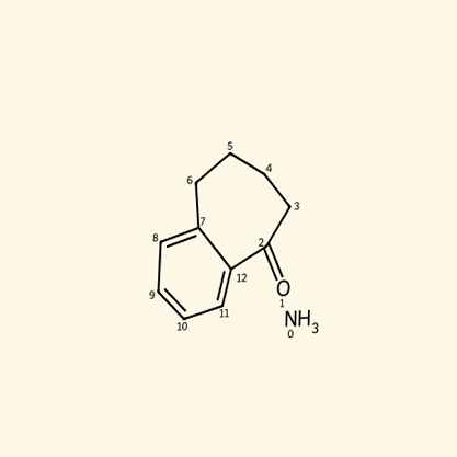 N.O=C1CCCCc2ccccc21